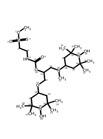 COS(=O)(=S)CCNC(=O)OC(COC1CC(C)(C)N(O)C(C)(C)C1)CN(C)C1CC(C)(C)N(O)C(C)(C)C1